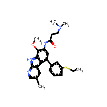 CCSc1cccc(-c2cc(NC(=O)CCN(C)C)c(OC)c3[nH]c4ncc(C)cc4c23)c1